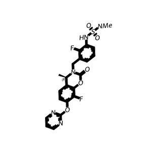 CNS(=O)(=O)Nc1cccc(CN2C(=O)Oc3c(ccc(Oc4ncccn4)c3F)[C@H]2C)c1F